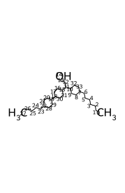 CCCCCCCC1CCC(C(CCO)C2CCC(C3CCC(CCCCC)CC3)CC2)CC1